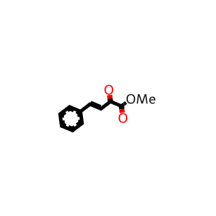 COC(=O)C(=O)C=Cc1ccccc1